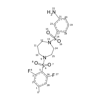 Cc1cc(F)c(S(=O)(=O)N2CCCN(S(=O)(=O)c3cccc(N)c3)CC2)c(F)c1